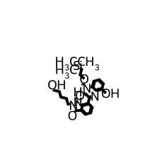 C[Si](C)(C)CCOCn1c(=O)c(-c2cccc3c(=O)n(CCCCCO)[nH]c23)nc2c(O)cccc21